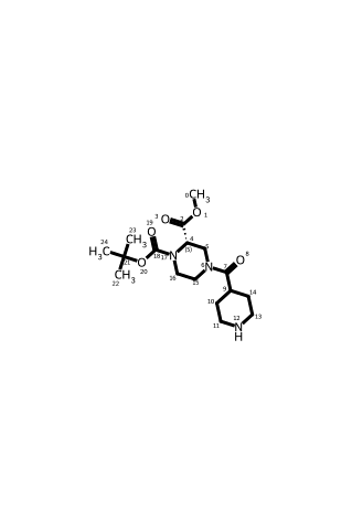 COC(=O)[C@@H]1CN(C(=O)C2CCNCC2)CCN1C(=O)OC(C)(C)C